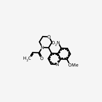 C=CC(=O)N1CCOCC1c1ccnc2c(OC)ccc([N+](=O)[O-])c12